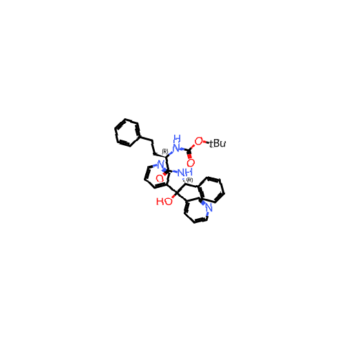 CC(C)(C)OC(=O)N[C@H](CCc1ccccc1)C(=O)N[C@H](c1ccccc1)C(O)(c1cccnc1)c1cccnc1